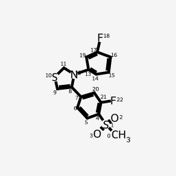 CS(=O)(=O)c1ccc(C2=CSCN2c2cccc(F)c2)cc1F